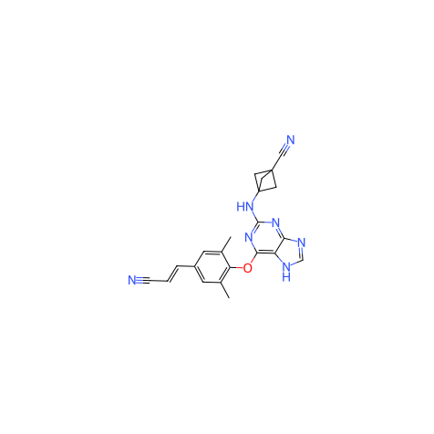 Cc1cc(/C=C/C#N)cc(C)c1Oc1nc(NC23CC(C#N)(C2)C3)nc2nc[nH]c12